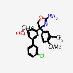 COc1ccc(C2(c3cccc(-c4cccc(Cl)c4)c3)COC(N)=N2)cc1C(F)(F)F.O=CO